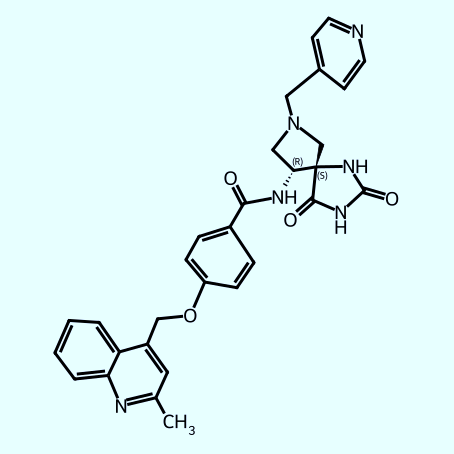 Cc1cc(COc2ccc(C(=O)N[C@@H]3CN(Cc4ccncc4)C[C@]34NC(=O)NC4=O)cc2)c2ccccc2n1